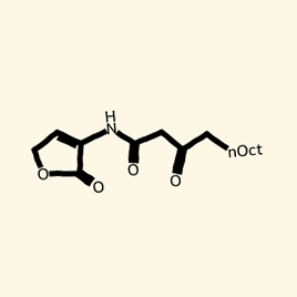 CCCCCCCCCC(=O)CC(=O)NC1=CCOC1=O